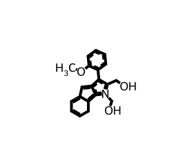 COc1ccccc1-c1c(CO)n(CO)c2c1=CC1=CC=CCC=21